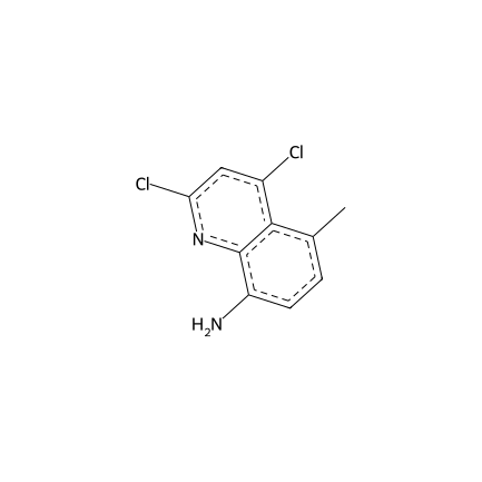 Cc1ccc(N)c2nc(Cl)cc(Cl)c12